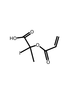 C=CC(=O)OC(C)(I)C(=O)O